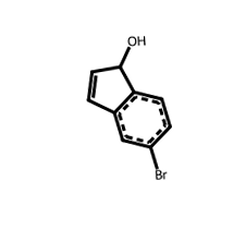 OC1C=Cc2cc(Br)ccc21